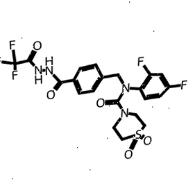 O=C(NNC(=O)C(F)(F)F)c1ccc(CN(C(=O)N2CCS(=O)(=O)CC2)c2ccc(F)cc2F)cc1